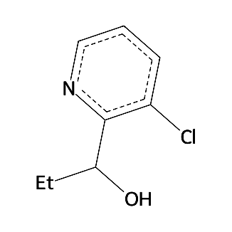 CCC(O)c1ncccc1Cl